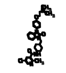 Cc1ncc(Cl)cc1C(=O)NC1CCC(Cn2c(=O)n(-c3ccc(OCCN(C)C)cc3)c3ccccc32)CC1